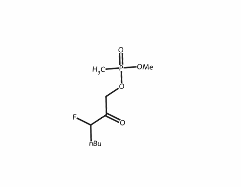 CCCCC(F)C(=O)COP(C)(=O)OC